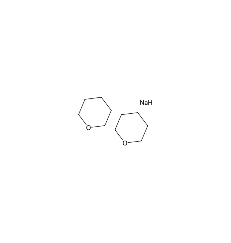 C1CCOCC1.C1CCOCC1.[NaH]